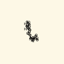 COC(=O)NC(C(=O)N1C[C@@H](C)[C@@H](C)[C@H]1c1ncc(-c2ccc3c(c2)COc2cc4c(ccc5nc([C@@H]6CC[C@H](C)N6C(=O)[C@@H](NC(=O)OC)C(C)C)[nH]c54)cc2-3)[nH]1)C1CCOCC1